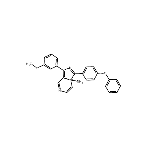 COc1cccc(C2=C3C=NC=C[N+]3(N)C(c3ccc(Oc4ccccc4)cc3)=N2)c1